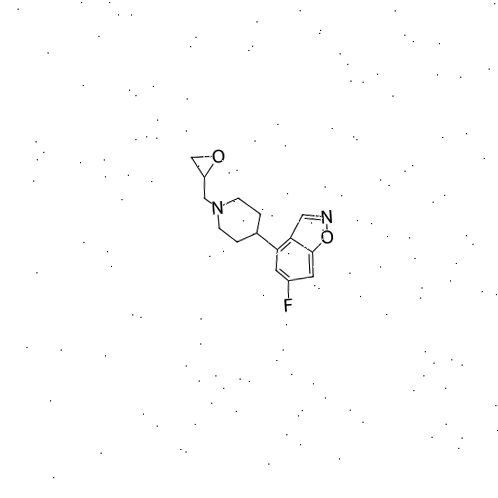 Fc1cc(C2CCN(CC3CO3)CC2)c2cnoc2c1